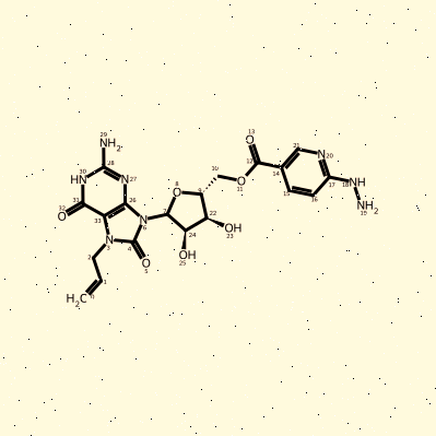 C=CCn1c(=O)n(C2O[C@H](COC(=O)c3ccc(NN)nc3)[C@@H](O)[C@H]2O)c2nc(N)[nH]c(=O)c21